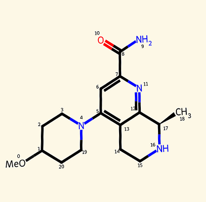 COC1CCN(c2cc(C(N)=O)nc3c2CCN[C@@H]3C)CC1